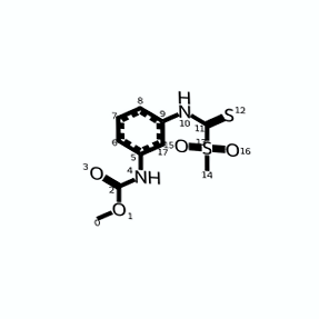 COC(=O)Nc1cccc(NC(=S)S(C)(=O)=O)c1